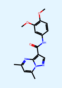 COc1ccc(NC(=O)c2cnn3c(C)cc(C)nc23)cc1OC